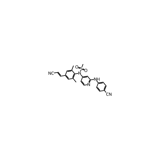 Cc1cc(/C=C/C#N)cc(C)c1N(c1ccnc(Nc2ccc(C#N)cc2)c1)S(C)(=O)=O